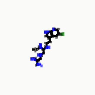 CNC(CNCC(=N)N)NCCC1CNC2=C1CC(Cl)C=N2